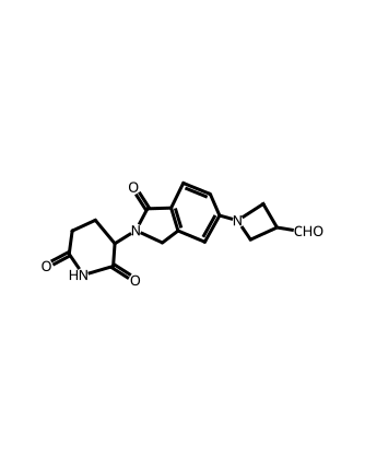 O=CC1CN(c2ccc3c(c2)CN(C2CCC(=O)NC2=O)C3=O)C1